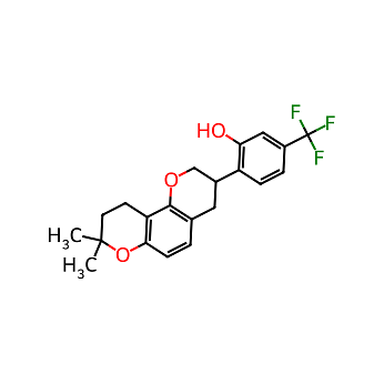 CC1(C)CCc2c(ccc3c2OCC(c2ccc(C(F)(F)F)cc2O)C3)O1